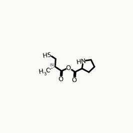 C[C@H](CS)C(=O)OC(=O)C1CCCN1